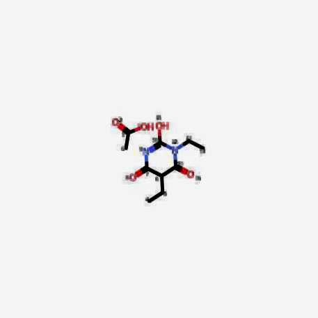 CC(=O)O.CCC1C(=O)N=C(O)N(CC)C1=O